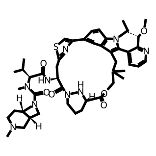 CCn1c(-c2cccnc2[C@H](C)OC)c2c3cc(ccc31)-c1csc(n1)C[C@H](NC(=O)[C@H](C(C)C)N(C)C(=O)N1C[C@@H]3CN(C)CC[C@@H]31)C(=O)N1CCC[C@H](N1)C(=O)OCC(C)(C)C2